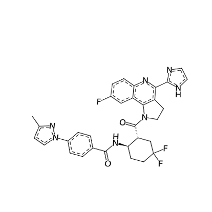 Cc1ccn(-c2ccc(C(=O)N[C@@H]3CCC(F)(F)C[C@H]3C(=O)N3CCc4c(-c5ncc[nH]5)nc5ccc(F)cc5c43)cc2)n1